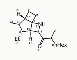 CCCCCCC(C)C(=O)C1NC23CC[C@H]2C(C)[C@@H](CC)[C@H]13